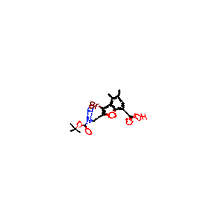 Cc1cc(C(=O)O)c2oc(CNC(=O)OC(C)(C)C)c(Br)c2c1C